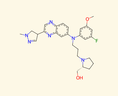 COc1cc(F)cc(N(CCCN2CCC[C@@H]2CO)c2ccc3ncc(C4C=NN(C)C4)nc3c2)c1